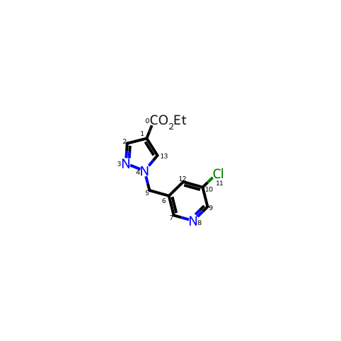 CCOC(=O)c1cnn(Cc2cncc(Cl)c2)c1